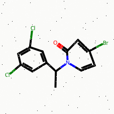 CC(c1cc(Cl)cc(Cl)c1)n1ccc(Br)cc1=O